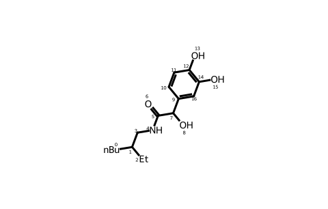 CCCCC(CC)CNC(=O)C(O)c1ccc(O)c(O)c1